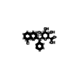 O=C(O)[C@H]1O[C@@H](N(c2ccccc2)c2ccc3cccc(Cl)c3n2)[C@H](O)[C@@H](O)[C@@H]1O